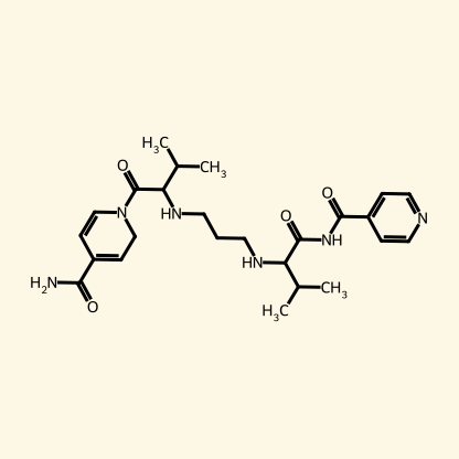 CC(C)C(NCCCNC(C(=O)N1C=CC(C(N)=O)=CC1)C(C)C)C(=O)NC(=O)c1ccncc1